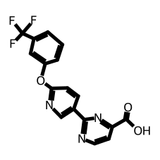 O=C(O)c1ccnc(-c2ccc(Oc3cccc(C(F)(F)F)c3)nc2)n1